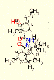 C=CCc1ccc(C(=O)NN(C(=O)c2cc(C)cc(C)c2)C(CCC)C(C)(C)C)c(C)c1O